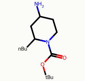 CCCCC1CC(N)CCN1C(=O)OC(C)(C)C